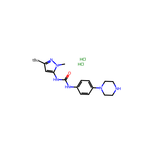 Cl.Cl.Cn1nc(C(C)(C)C)cc1NC(=O)Nc1ccc(N2CCNCC2)cc1